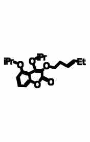 CCC=CCCOc1c(OC(C)C)c2c(OC(C)C)cccc2oc1=O